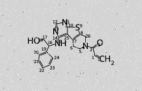 C=CC(=O)N1CCc2c(sc3ncnc(NC(CO)c4ccccc4)c23)C1